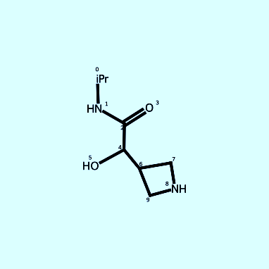 CC(C)NC(=O)C(O)C1CNC1